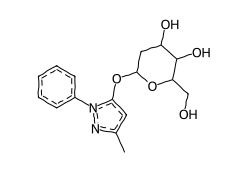 Cc1cc(OC2CC(O)C(O)C(CO)O2)n(-c2ccccc2)n1